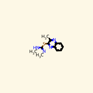 CN=C(NC)Sc1nc2ccccc2nc1C